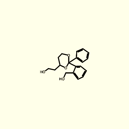 OCCC1CCOC(c2ccccc2)(c2ccccc2CO)O1